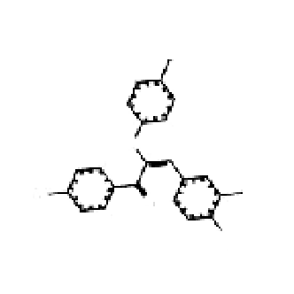 Cc1ccc(SC(=Cc2ccc(F)c(C)c2)C(=O)c2ccc(Br)cc2)cc1